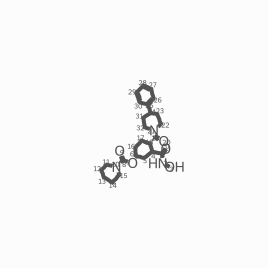 O=C(NO)C1CC(OC(=O)N2CCCCC2)CC[C@@H]1C(=O)N1CCC(c2ccccc2)CC1